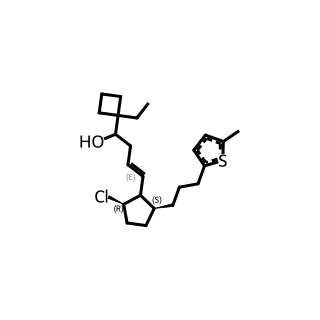 CCC1(C(O)C/C=C/C2[C@@H](CCCc3ccc(C)s3)CC[C@H]2Cl)CCC1